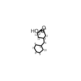 O=C(O)C12CC(CC3CCCCC3)CCC1O2